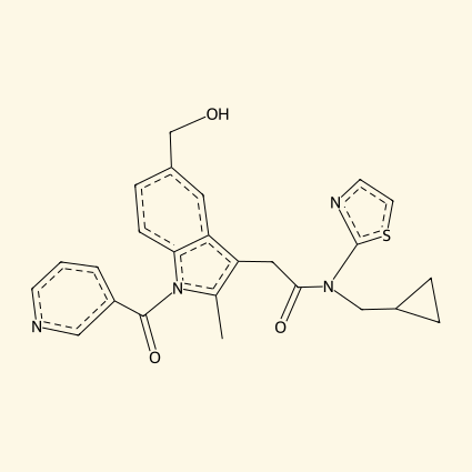 Cc1c(CC(=O)N(CC2CC2)c2nccs2)c2cc(CO)ccc2n1C(=O)c1cccnc1